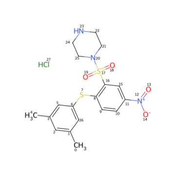 Cc1cc(C)cc(Sc2ccc([N+](=O)[O-])cc2S(=O)(=O)N2CCNCC2)c1.Cl